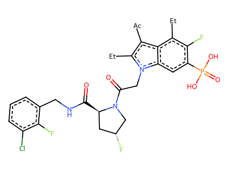 CCc1c(F)c(P(=O)(O)O)cc2c1c(C(C)=O)c(CC)n2CC(=O)N1C[C@H](F)C[C@H]1C(=O)NCc1cccc(Cl)c1F